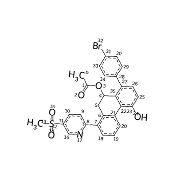 CC(=O)OC1Cc2c(-c3ccc(S(C)(=O)=O)cn3)cccc2-c2c(O)ccc(-c3ccc(Br)cc3)c21